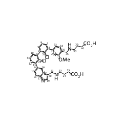 COc1nc(-c2cccc(-c3cccc(-c4ccc5ncc(CNCCCC(=O)O)n5c4)c3Cl)c2Cl)ccc1CNCCCC(=O)O